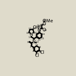 C=C(CC1=CC(Cl)=C(Cl)CC1)N(C)C(CN1CCC(O)C1)c1cccc(NC(=O)COOC)c1